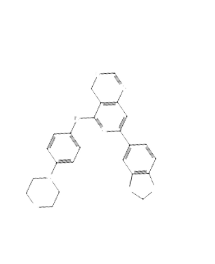 C1=Nc2cc(-c3ccc4c(c3)OCO4)nc(Nc3ccc(N4CCOCC4)cc3)c2CN1